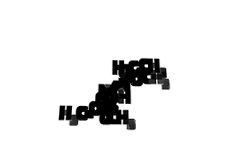 CCOC(=O)C1(CC)CC(CNC(=O)OC(C)(C)C)=NO1